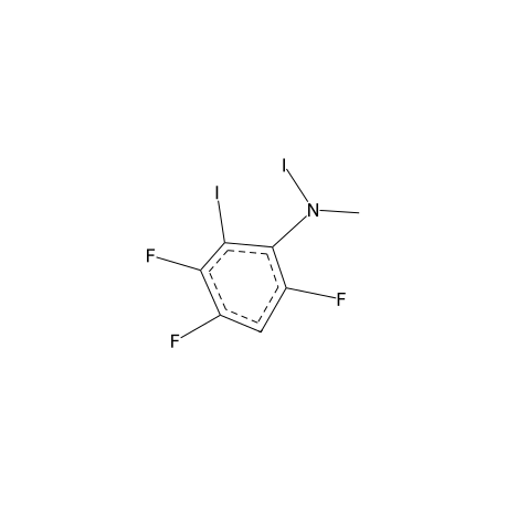 CN(I)c1c(F)cc(F)c(F)c1I